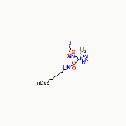 CCCCCCCCCCCCCCCCCCNC(=O)OCC(CNS(=O)(=O)CCCI)n1nnnc1C